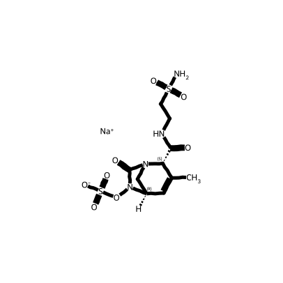 CC1=C[C@@H]2CN(C(=O)N2OS(=O)(=O)[O-])[C@@H]1C(=O)NCCS(N)(=O)=O.[Na+]